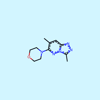 Cc1cc2nnc(C)n2nc1N1CCOCC1